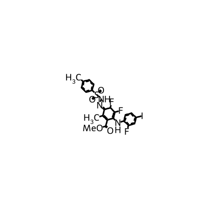 COC(=O)C1=C(C)C(=NNS(=O)(=O)c2ccc(C)cc2)C(F)C(F)=C1Nc1ccc(I)cc1F